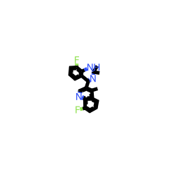 Cc1c(C2=NC(C)(C)Nc3c(F)cccc32)cnc2c(F)cccc12